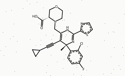 C[C@]1(c2ccc(F)cc2Cl)N=C(c2nccs2)NC(CN2CCOC[C@H]2C(=O)O)=C1C#CC1CC1